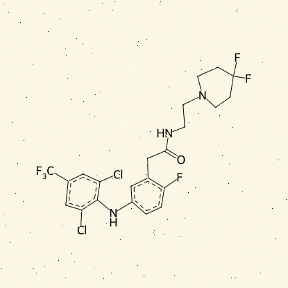 O=C(Cc1cc(Nc2c(Cl)cc(C(F)(F)F)cc2Cl)ccc1F)NCCN1CCC(F)(F)CC1